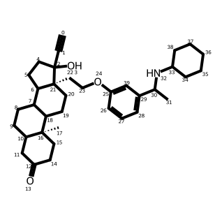 C#CC1(O)CCC2C3CCC4CC(=O)CC[C@]4(C)C3CC[C@@]21CCOc1cccc(C(C)NC2CCCCC2)c1